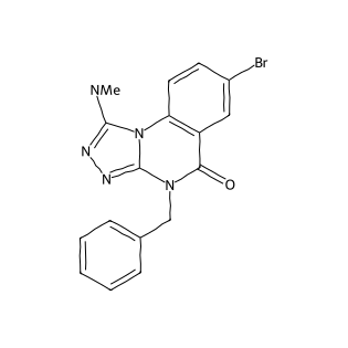 CNc1nnc2n(Cc3ccccc3)c(=O)c3cc(Br)ccc3n12